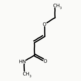 CCOC=CC(=O)NC